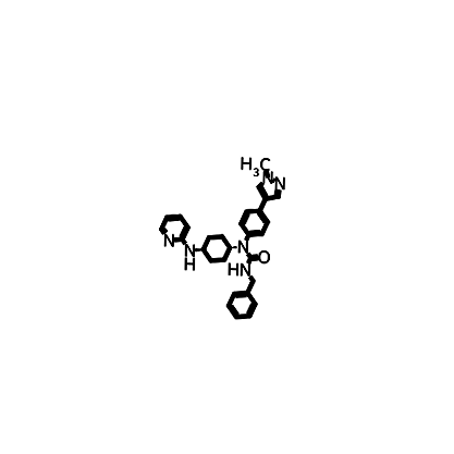 Cn1cc(-c2ccc(N(C(=O)NCc3ccccc3)[C@H]3CC[C@H](Nc4ccccn4)CC3)cc2)cn1